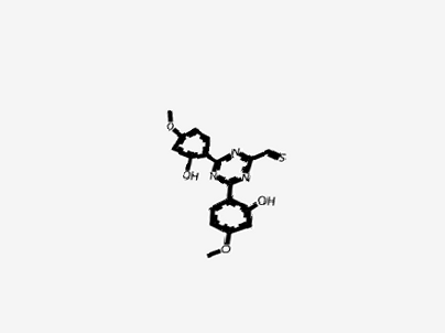 COc1ccc(-c2nc(C=S)nc(-c3ccc(OC)cc3O)n2)c(O)c1